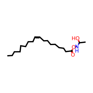 CCCCCCCC/C=C\CCCCCCCC(=O)ONC(C)O